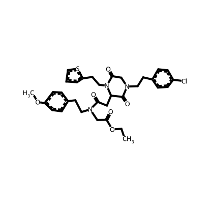 CCOC(=O)CN(CCc1ccc(OC)cc1)C(=O)CC1C(=O)N(CCc2ccc(Cl)cc2)CC(=O)N1CCc1cccs1